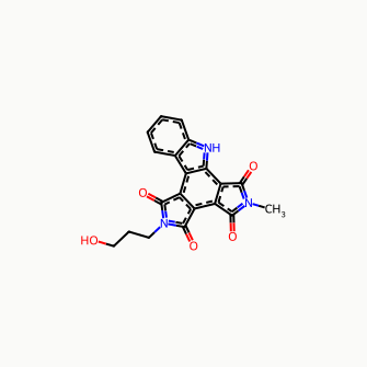 Cn1c(=O)c2c3[nH]c4ccccc4c3c3c(=O)n(CCCO)c(=O)c3c2c1=O